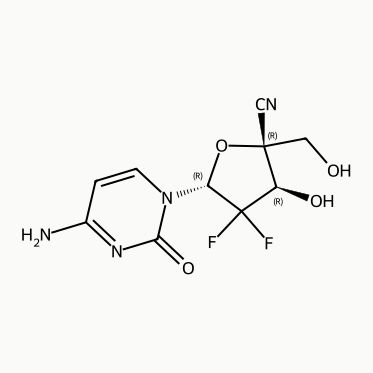 N#C[C@]1(CO)O[C@@H](n2ccc(N)nc2=O)C(F)(F)[C@@H]1O